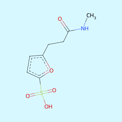 CNC(=O)CCc1ccc(S(=O)(=O)O)o1